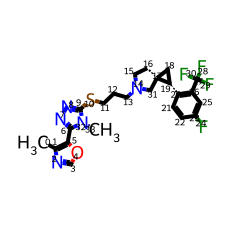 Cc1ncoc1-c1nnc(SCCCN2CC[C@@]3(C[C@@H]3c3ccc(F)cc3C(F)(F)F)C2)n1C